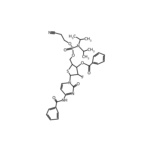 CC(C)N(C(C)C)P(=O)(OCCC#N)OCC1SC(n2ccc(NC(=O)c3ccccc3)nc2=O)C(F)C1OC(=O)c1ccccc1